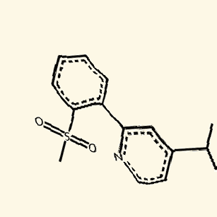 CC(C)c1ccnc(-c2ccccc2S(C)(=O)=O)c1